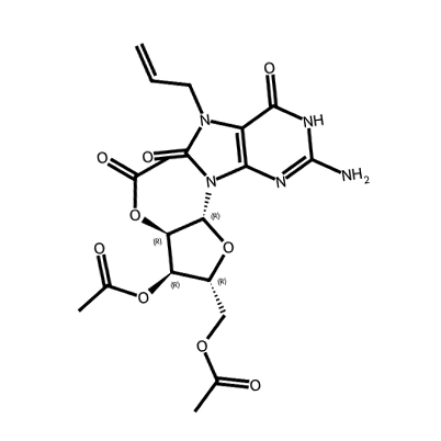 C=CCn1c(=O)n([C@@H]2O[C@H](COC(C)=O)[C@@H](OC(C)=O)[C@H]2OC(C)=O)c2nc(N)[nH]c(=O)c21